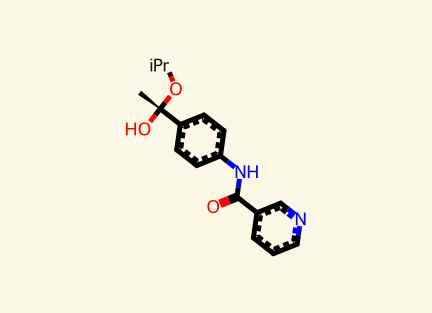 CC(C)O[C@@](C)(O)c1ccc(NC(=O)c2cccnc2)cc1